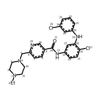 CCN1CCN(Cc2ccc(C(=O)Nc3ccc(Cl)c(Nc4cccc(Cl)c4)c3)cn2)CC1